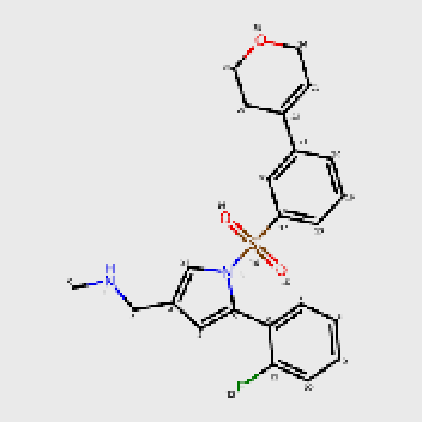 CNCc1cc(-c2ccccc2F)n(S(=O)(=O)c2cccc(C3=CCOCC3)c2)c1